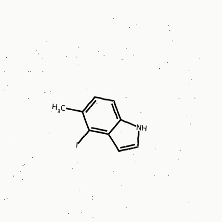 Cc1ccc2[nH]ccc2c1I